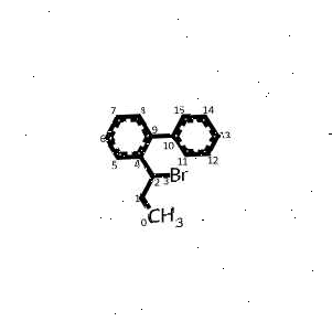 CCC(Br)c1ccccc1-c1ccccc1